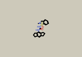 CN1Cc2ccccc2[SH]1(=O)NC(=O)Nc1c2c(cc3c1CCC3)CCC2